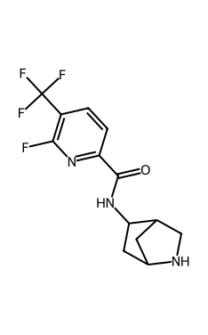 O=C(NC1CC2CC1CN2)c1ccc(C(F)(F)F)c(F)n1